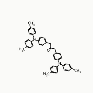 Cc1ccc(N(c2ccc(C)cc2)c2ccc(CC(=O)Cc3ccc(N(c4ccc(C)cc4)c4ccc(C)cc4)cc3)cc2)cc1